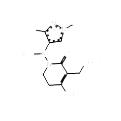 CCn1cc(N(C)N2CCC(C)=C(CC(=O)O)C2=O)c(C)n1